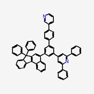 c1ccc(-c2cc(-c3cc(-c4ccc(-c5cccnc5)cc4)cc(-c4cc5c(c6ccccc46)-c4ccccc4C5(c4ccccc4)c4ccccc4)c3)cc(-c3ccccc3)n2)cc1